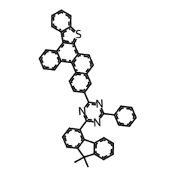 CC1(C)c2ccccc2-c2c(-c3nc(-c4ccccc4)nc(-c4ccc5c(ccc6c7sc8ccccc8c7c7ccccc7c56)c4)n3)cccc21